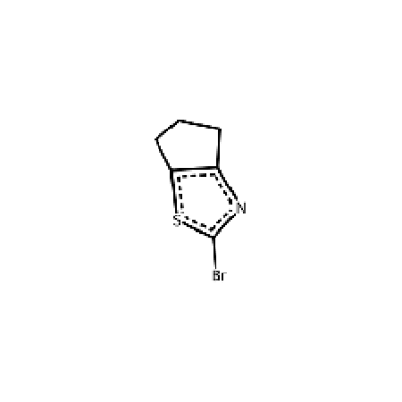 Brc1nc2c(s1)CCC2